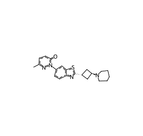 Cc1ccc(=O)n(-c2ccc3nc([C@H]4C[C@H](N5CCCCC5)C4)sc3c2)n1